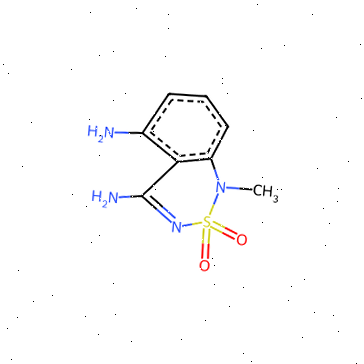 CN1c2cccc(N)c2C(N)=NS1(=O)=O